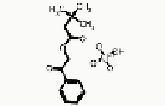 CC(C)(C)CC(=O)OCC(=O)c1ccccc1.[O-][Cl+3]([O-])([O-])O